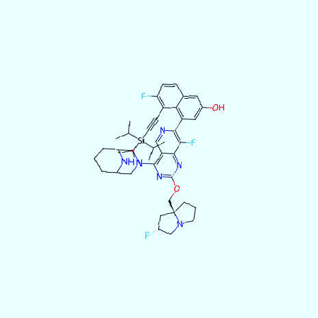 CC(C)[Si](C#Cc1c(F)ccc2cc(O)cc(-c3ncc4c(N5CC6CCCC(C5)N6)nc(OC[C@@]56CCCN5C[C@H](F)C6)nc4c3F)c12)(C(C)C)C(C)C